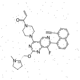 C#Cc1cccc2cccc(-c3ncc4c(N5CCN(C(=O)C=C)CC5)nc(OC[C@@H]5CCCN5C)nc4c3F)c12